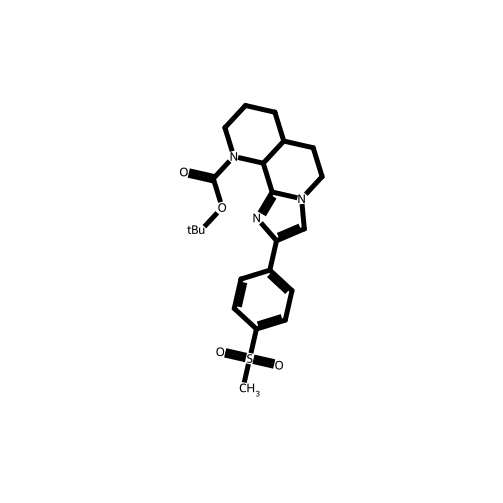 CC(C)(C)OC(=O)N1CCCC2CCn3cc(-c4ccc(S(C)(=O)=O)cc4)nc3C21